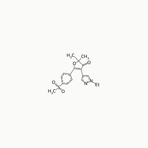 CCn1cc(C2=C(c3ccc(S(C)(=O)=O)cc3)OC(C)(C)C2=O)cn1